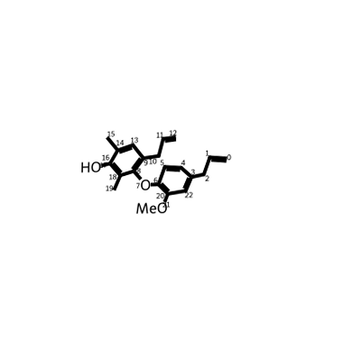 C=CCc1ccc(Oc2c(CC=C)cc(C)c(O)c2C)c(OC)c1